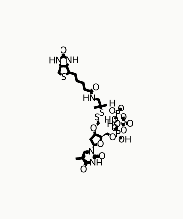 Cc1cn([C@H]2CC(OCSSC(C)(C)CNC(=O)CCCCC3SCC4NC(=O)NC43)[C@@H](COP(=O)(O)OP(=O)(O)OP(=O)(O)O)O2)c(=O)[nH]c1=O